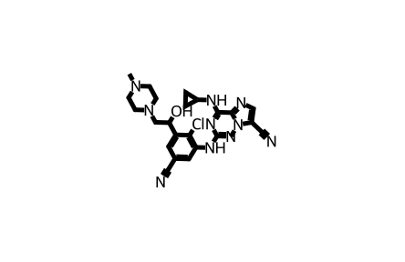 CN1CCN(CC(O)c2cc(C#N)cc(Nc3nc(NC4CC4)c4ncc(C#N)n4n3)c2Cl)CC1